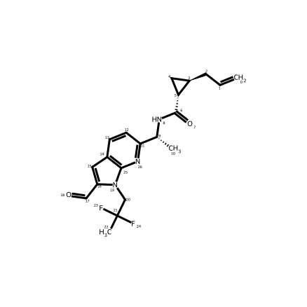 C=CC[C@@H]1C[C@H]1C(=O)N[C@H](C)c1ccc2cc(C=O)n(CC(C)(F)F)c2n1